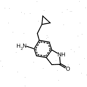 Nc1cc2c(cc1CC1CC1)NC(=O)C2